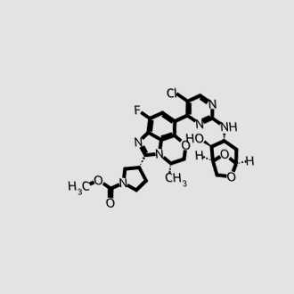 COC(=O)N1CC[C@@H](c2nc3c(F)cc(-c4nc(N[C@@H]5C[C@H]6OC[C@H](O6)[C@H]5O)ncc4Cl)c4c3n2[C@@H](C)CO4)C1